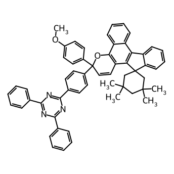 COc1ccc(C2(c3ccc(-c4nc(-c5ccccc5)nc(-c5ccccc5)n4)cc3)C=Cc3c4c(c5ccccc5c3O2)-c2ccccc2C42CC(C)(C)CC(C)(C)C2)cc1